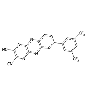 [C-]#[N+]c1nc2nc3cc(-c4cc(C(F)(F)F)cc(C(F)(F)F)c4)ccc3nc2nc1C#N